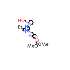 CCc1cnn2c(NCc3ccc(OCC(OC)OC)nc3)cc(N3CCCC[C@H]3CCO)nc12